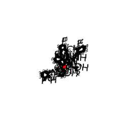 [CH2]C(O)C[C@H](N(C)C(=O)NCc1cccc(F)c1Cl)C(OC[C@@H]1[C@H](O)CCN1C(=O)NCc1cccc(F)c1Cl)(OC(=O)Nc1cc2cc(F)ccc2cn1)C1=Cc2cc(F)ccc2CN1C(N)=O